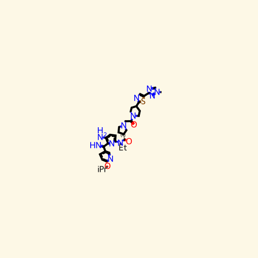 CCN(C(=O)[C@@H]1CCN(CC(=O)N2CCC(c3ncc(-c4ncn(C)n4)s3)CC2)C1)c1ccc(N)c(C(=N)c2ccc(OC(C)C)nc2)n1